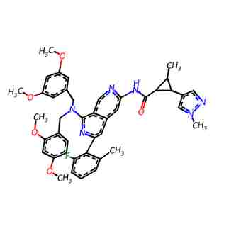 COc1cc(CN(Cc2ccc(OC)cc2OC)c2nc(-c3c(C)cccc3F)cc3cc(NC(=O)C4C(C)C4c4cnn(C)c4)ncc23)cc(OC)c1